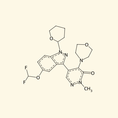 Cn1ncc(-c2nn(C3CCCCO3)c3ccc(OC(F)F)cc23)c(N2CCOCC2)c1=O